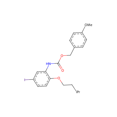 COc1ccc(COC(=O)Nc2cc(I)ccc2OCCC(C)C)cc1